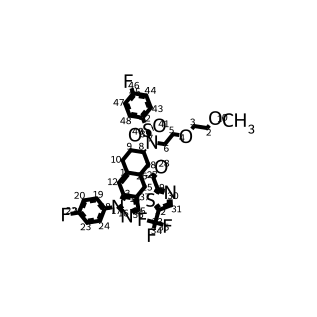 COCCOCCN([C@H]1CCC2=Cc3c(cnn3-c3ccc(F)cc3)C[C@]2(C(=O)c2ncc(C(F)(F)F)s2)C1)S(=O)(=O)c1ccc(F)cc1